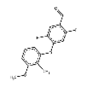 COc1cccc(Oc2cc(F)c(C=O)cc2F)c1C